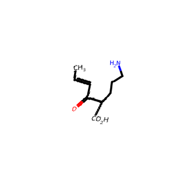 CC=CC(=O)C(CCCN)C(=O)O